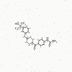 NC(=O)Nc1ccc(C(=O)N2CCN(Cc3cccc(C(O)(C(F)(F)F)C(F)(F)F)c3)CC2)cc1